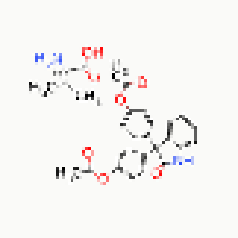 CC(=O)Oc1ccc(C2(c3ccc(OC(C)=O)cc3)C(=O)Nc3ccccc32)cc1.CC(C)[C@H](N)C(=O)O